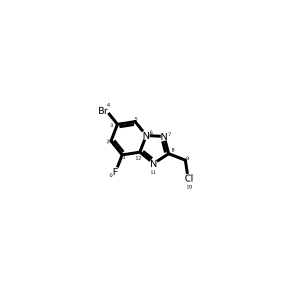 Fc1cc(Br)cn2nc(CCl)nc12